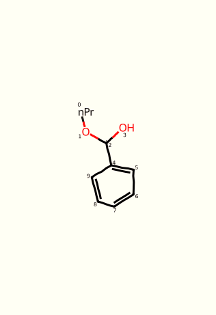 CCCO[C](O)c1ccccc1